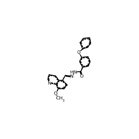 COc1ccc(/C=N/NC(=O)c2cccc(Oc3ccccc3)c2)c2cccnc12